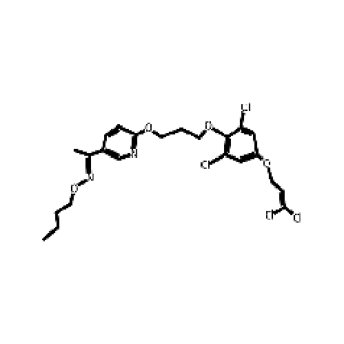 CCCCON=C(C)c1ccc(OCCCOc2c(Cl)cc(OCC=C(Cl)Cl)cc2Cl)nc1